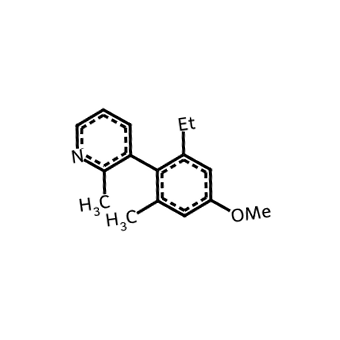 CCc1cc(OC)cc(C)c1-c1cccnc1C